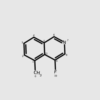 Cc1cccc2cncc(F)c12